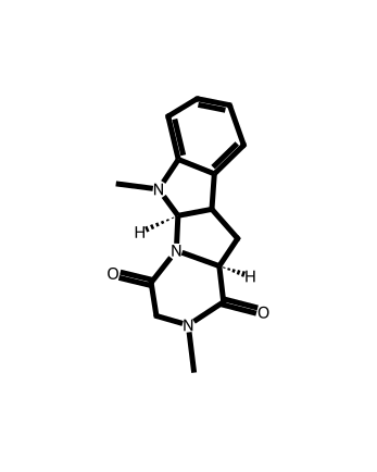 CN1CC(=O)N2[C@@H]3C(C[C@H]2C1=O)c1ccccc1N3C